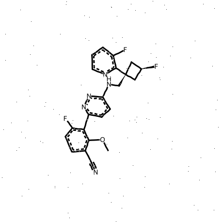 COc1c(C#N)ccc(F)c1-c1ccc(NC[C@]2(c3ncccc3F)C[C@H](F)C2)nn1